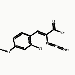 COc1ccc(/C=C(\N=[N+]=N)C(=O)[O-])c(Cl)c1